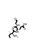 CC[C@H](C)[C@H](N)C(=O)N[C@@H](CCC(=O)O)C(=O)NC[C]=O